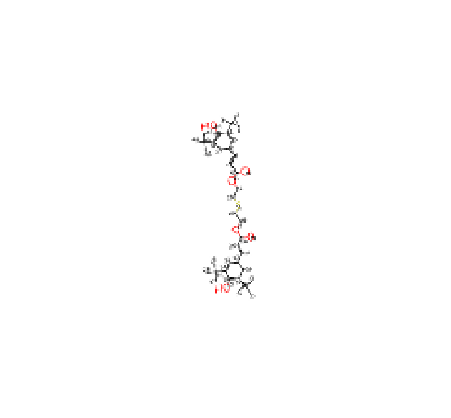 CC(C)(C)C1=CC(C=CC(=O)OCCSCCOC(=O)C=CC2C=C(C(C)(C)C)C(O)=C(C(C)(C)C)C2)CC(C(C)(C)C)=C1O